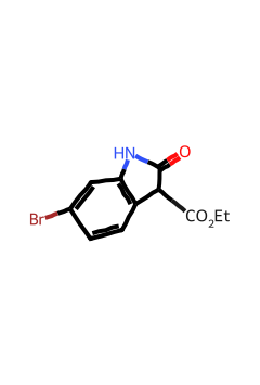 CCOC(=O)C1C(=O)Nc2cc(Br)ccc21